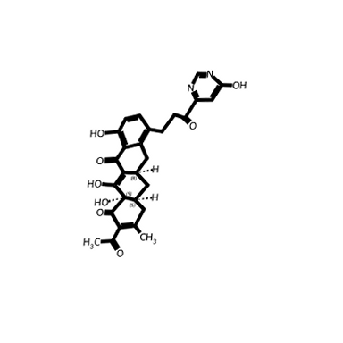 CC(=O)C1=C(C)C[C@@H]2C[C@@H]3Cc4c(CCC(=O)c5cc(O)ncn5)ccc(O)c4C(=O)C3=C(O)[C@]2(O)C1=O